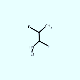 CCNC(F)[C](C)F